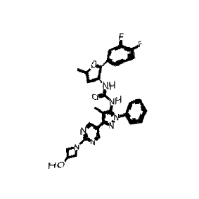 Cc1c(-c2cnc(N3CC(O)C3)nc2)nn(-c2ccccc2)c1NC(=O)N[C@@H]1CC(C)O[C@H]1c1ccc(F)c(F)c1